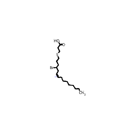 CCCCCCCC/C=C\CC(Br)CCCSCCC(=O)O